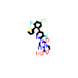 CCN(NC(=O)O)C(=O)N(CC)c1ncc(-c2cc(Cl)cc(F)c2-c2cccs2)cc1F